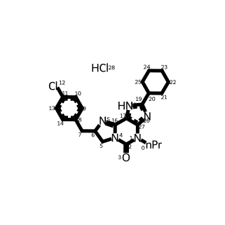 CCCN1C(=O)N2CC(Cc3ccc(Cl)cc3)N=C2c2[nH]c(C3CCCCC3)nc21.Cl